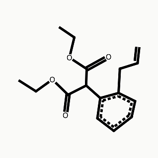 C=CCc1ccccc1C(C(=O)OCC)C(=O)OCC